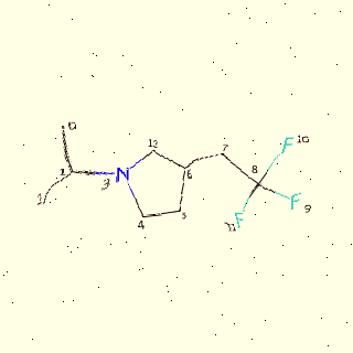 CC(C)N1CCC(CC(F)(F)F)C1